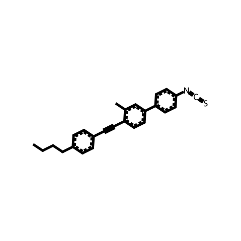 CCCCc1ccc(C#Cc2ccc(-c3ccc(N=C=S)cc3)cc2C)cc1